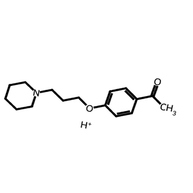 CC(=O)c1ccc(OCCCN2CCCCC2)cc1.[H+]